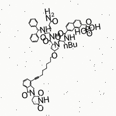 CCCC[C@H](NC(=O)c1ccc2ccc(C(=O)P(=O)(O)O)cc2c1)C(=O)N1C[C@H](OCCCCCCC#Cc2cccc3c2CN(C2CCC(=O)NC2=O)C3=O)C[C@H]1C(=O)N[C@@H](CCC(N)=O)C(=O)NC(c1ccccc1)c1ccccc1